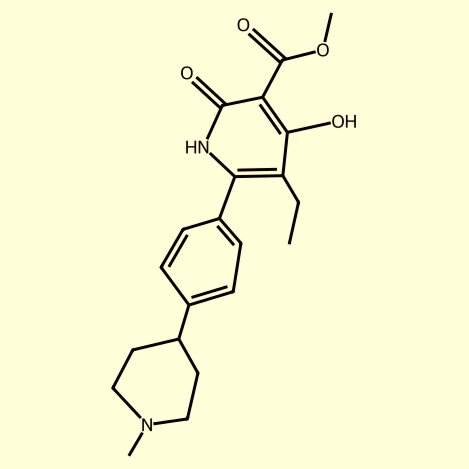 CCc1c(-c2ccc(C3CCN(C)CC3)cc2)[nH]c(=O)c(C(=O)OC)c1O